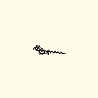 CCCCCCCCCCCC(=O)OC1CC[N+](C)(CC(O)CS(=O)(=O)O)CC1